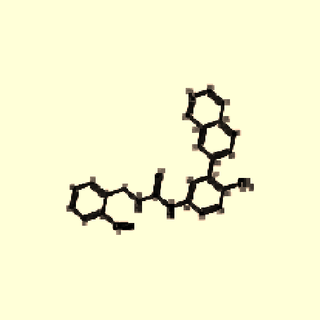 COc1ccccc1CNC(=O)Nc1ccc(C)c(-c2ccc3ccncc3c2)c1